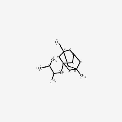 CC(C)C(C)NC12CC3CC(C)(CC(C)(C3)C1)C2